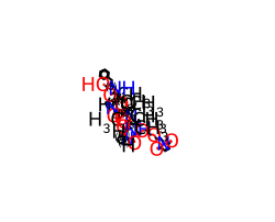 CC[C@H](C)[C@@H]([C@@H](CC(=O)N1CCC[C@H]1[C@H](OC)[C@@H](C)C(=O)N[C@H](CO)Cc1ccccc1)OC)N(C)C(=O)[C@@H](NC(=O)[C@@H]1[C@H]2CC[C@H](C2)N1C(=O)CCOCCOCCN1C(=O)C=CC1=O)C(C)C